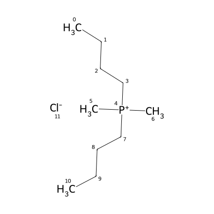 CCCC[P+](C)(C)CCCC.[Cl-]